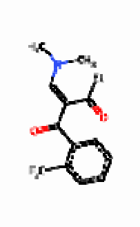 CCC(=O)C(=CN(C)C)C(=O)c1ccccc1C(F)(F)F